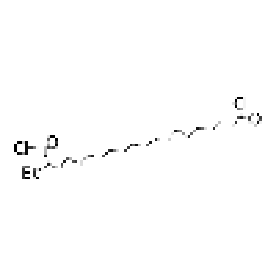 CCC(CCCCCCCCCCCCCCCCCC(=O)Cl)C(=O)Cl